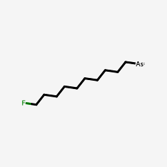 FCCCCCCCCCC[As]